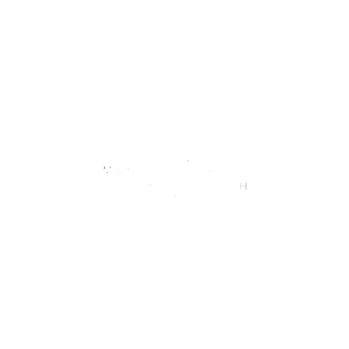 COC(C)Cc1ccc(C(C)C(=O)O)cc1